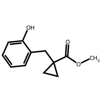 COC(=O)C1(Cc2ccccc2O)CC1